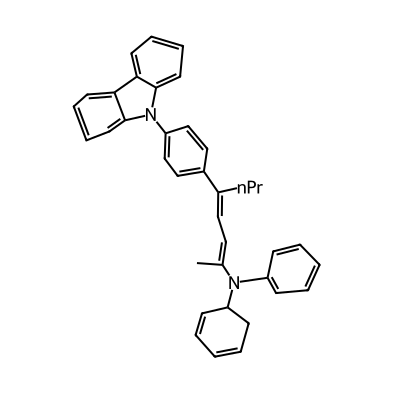 CCC/C(=C\C=C(/C)N(c1ccccc1)C1C=CC=CC1)c1ccc(-n2c3ccccc3c3ccccc32)cc1